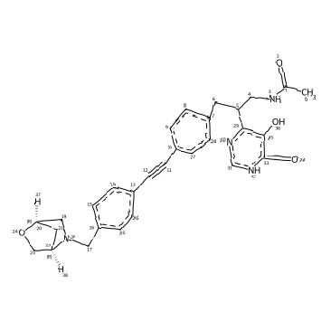 CC(=O)NCC(Cc1ccc(C#Cc2ccc(CN3C[C@H]4C[C@@H]3CO4)cc2)cc1)c1nc[nH]c(=O)c1O